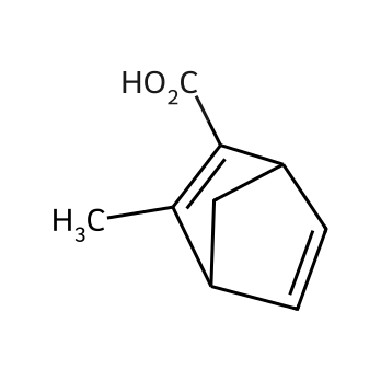 CC1=C(C(=O)O)C2C=CC1C2